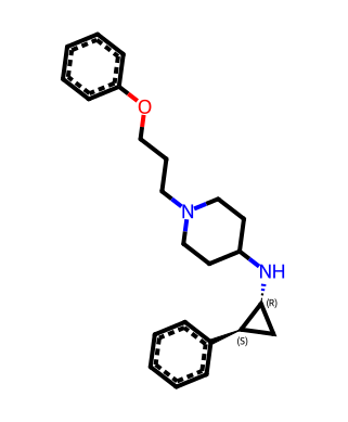 c1ccc(OCCCN2CCC(N[C@@H]3C[C@H]3c3ccccc3)CC2)cc1